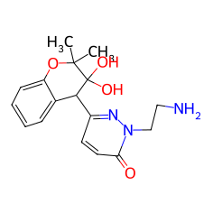 CC1(C)Oc2ccccc2C(c2ccc(=O)n(CCN)n2)C1(O)O